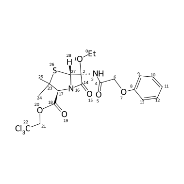 CCO[C@@]1(NC(=O)COc2ccccc2)C(=O)N2[C@@H](C(=O)OCC(Cl)(Cl)Cl)C(C)(C)S[C@@H]21